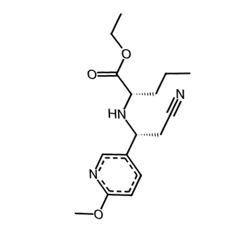 CCC[C@H](N[C@H](CC#N)c1ccc(OC)nc1)C(=O)OCC